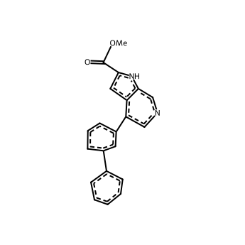 COC(=O)c1cc2c(-c3cccc(-c4ccccc4)c3)cncc2[nH]1